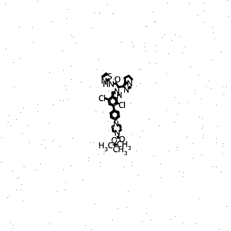 CC(C)(C)OC(=O)N1CCN(c2ccc(-c3cc(Cl)c4cn(C(C(=O)Nc5nccs5)c5ncn6c5CCC6)nc4c3Cl)cc2)CC1